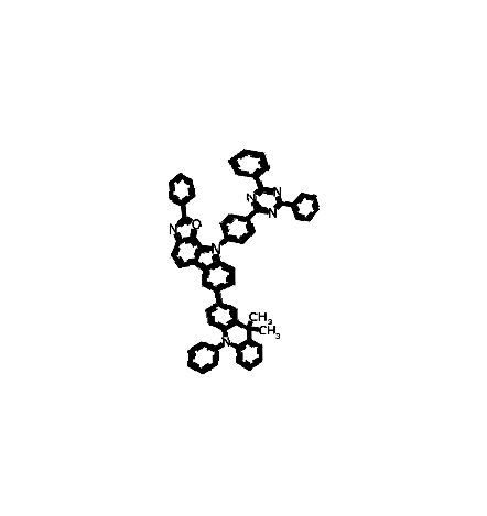 CC1(C)c2ccccc2N(c2ccccc2)c2ccc(-c3ccc4c(c3)c3ccc5nc(-c6ccccc6)oc5c3n4-c3ccc(-c4nc(-c5ccccc5)nc(-c5ccccc5)n4)cc3)cc21